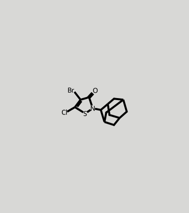 O=c1c(Br)c(Cl)sn1C1C2CC3CC(C2)CC1C3